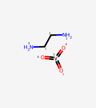 NCCN.[O]=[V](=[O])=[O]